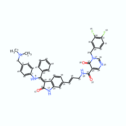 CN(C)Cc1ccc(N/C(=C2\C(=O)Nc3cc(/C=C/CNC(=O)c4cncn(Cc5ccc(F)c(F)c5)c4=O)ccc32)c2ccccc2)cc1